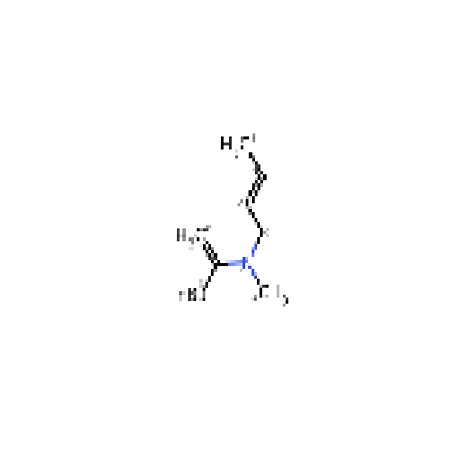 C=C(CCCC)N(C)C/C=C/C